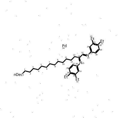 CCCCCCCCCCCCCCCCCCCCCCCC(C=Nc1ccc(CC)c(CC)c1)=Nc1ccc(CC)c(CC)c1.[Pd]